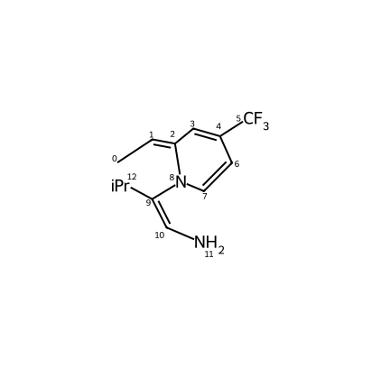 C/C=C1/C=C(C(F)(F)F)C=CN1/C(=C\N)C(C)C